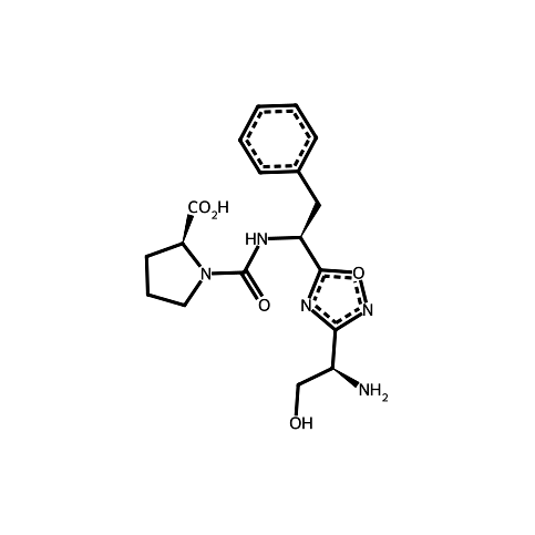 N[C@@H](CO)c1noc([C@H](Cc2ccccc2)NC(=O)N2CCC[C@H]2C(=O)O)n1